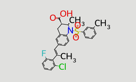 C/C(=C\c1ccc2c(c1)C[C@@H](C(=O)O)[C@@H](C)N2S(=O)(=O)c1cccc(C)c1)c1c(F)cccc1Cl